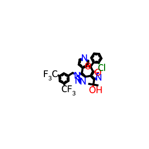 CC(C)(O)c1noc(C(=O)c2ccccc2Cl)c1-c1nnn(Cc2cc(C(F)(F)F)cc(C(F)(F)F)c2)c1-c1ccncc1